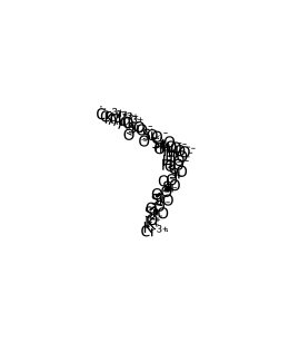 O=[Si]([O-])[O-].O=[Si]([O-])[O-].O=[Si]([O-])[O-].O=[Si]([O-])[O-].O=[Si]([O-])[O-].O=[Si]([O-])[O-].O=[Si]([O-])[O-].[Al+3].[Al+3].[Al+3].[Cr+3].[Cr+3].[Cr+3].[K+].[K+].[K+].[OH-].[OH-].[OH-].[OH-].[OH-].[OH-].[OH-]